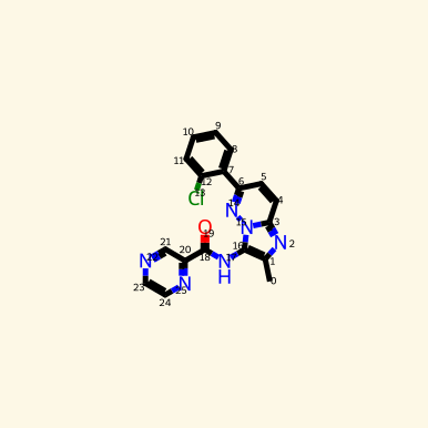 Cc1nc2ccc(-c3ccccc3Cl)nn2c1NC(=O)c1cnccn1